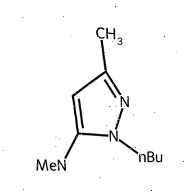 CCCCn1nc(C)cc1NC